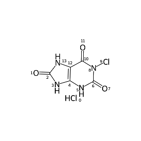 Cl.O=c1[nH]c2[nH]c(=O)n(Cl)c(=O)c2[nH]1